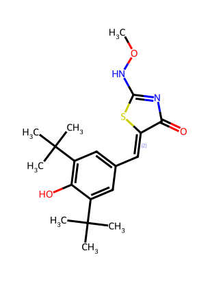 CONC1=NC(=O)/C(=C/c2cc(C(C)(C)C)c(O)c(C(C)(C)C)c2)S1